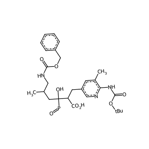 Cc1cc(CC(C(=O)O)C(O)(CC(C)CNC(=O)OCc2ccccc2)P=O)cnc1NC(=O)OC(C)(C)C